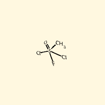 CS(=O)(F)(Cl)Cl